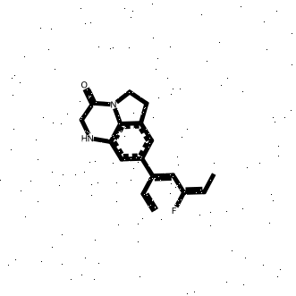 C=C/C(=C\C(F)=C/C)c1cc2c3c(c1)NCC(=O)N3CC2